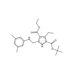 CCOC(=O)c1c(CNc2cc(C)cc(C)c2)[nH]c(C(=O)OC(C)(C)C)c1CC